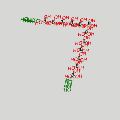 Cl.Cl.Cl.Cl.Cl.Cl.Cl.Cl.Cl.Cl.Cl.OB(O)O.OB(O)O.OB(O)O.OB(O)O.OB(O)O.OB(O)O.OB(O)O.OB(O)O.OB(O)O.OB(O)O.OB(O)O.OB(O)O